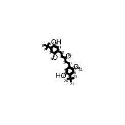 COc1cc(C(C)(C)C)c(O)cc1CCC(=O)CCc1cc(O)c(C(C)(C)C)cc1OC